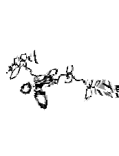 CCCCCCCCC(CCCCCC)C(=O)OCCCCOC(=O)CCC(O[Si](c1ccccc1)(c1ccccc1)C(C)(C)C)C(=O)OCCCCOC(=O)C(CCCCCC)CCCCCCCC